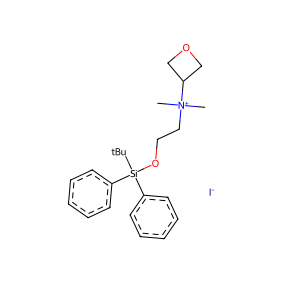 CC(C)(C)[Si](OCC[N+](C)(C)C1COC1)(c1ccccc1)c1ccccc1.[I-]